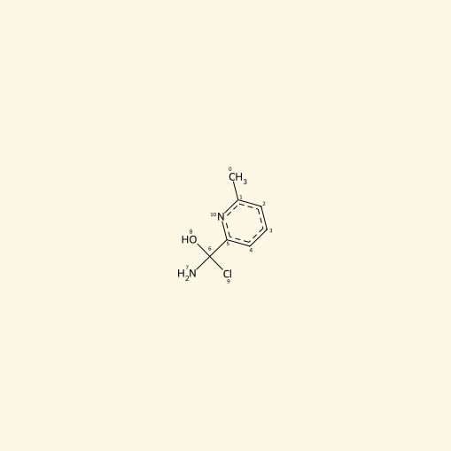 Cc1cccc(C(N)(O)Cl)n1